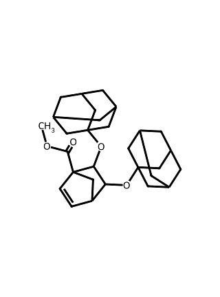 COC(=O)C12C=CC(C1)C(OC13CC4CC(CC(C4)C1)C3)C2OC12CC3CC(CC(C3)C1)C2